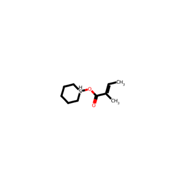 CC=C(C)C(=O)O[SiH]1CCCCC1